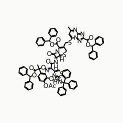 CC(=O)Oc1ccc(C(C)(O/N=C(\C(=O)N[C@@H]2C(=O)N3C(C(=O)OC(c4ccccc4)c4ccccc4)=C(CSc4cc(C)nc5nc(C(=O)OC(c6ccccc6)c6ccccc6)nn45)CS[C@H]23)c2csc(NC(c3ccccc3)(c3ccccc3)c3ccccc3)n2)C(=O)OC(c2ccccc2)c2ccccc2)cc1OC(C)=O